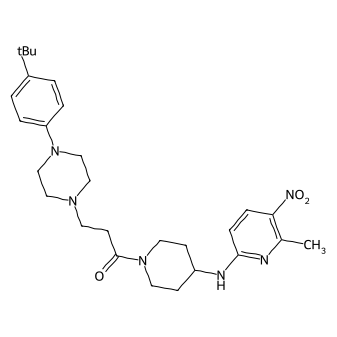 Cc1nc(NC2CCN(C(=O)CCN3CCN(c4ccc(C(C)(C)C)cc4)CC3)CC2)ccc1[N+](=O)[O-]